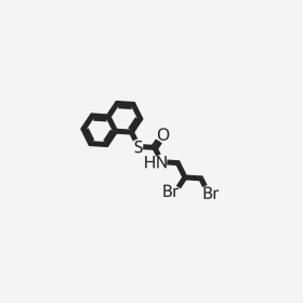 O=C(NCC(Br)CBr)Sc1cccc2ccccc12